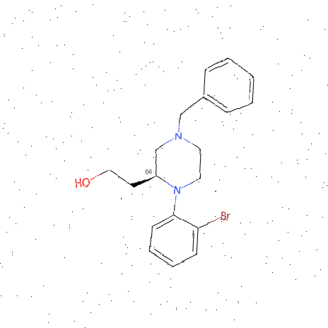 OCC[C@H]1CN(Cc2ccccc2)CCN1c1ccccc1Br